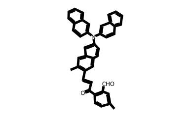 Cc1ccc(C(=O)/C=C/c2cc3ccc(N(c4ccc5ccccc5c4)c4ccc5ccccc5c4)cc3cc2C)c(C=O)c1